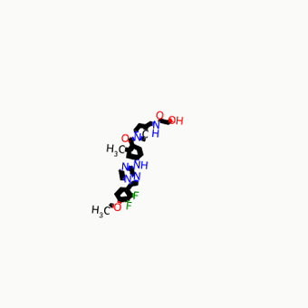 CCOc1ccc(-c2cnc3c(Nc4ccc(C(=O)N5CCC(CNC(=O)CO)CC5)c(C)c4)nccn23)c(F)c1F